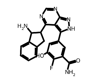 NC(=O)c1cc(-c2[nH]nc3ncnc(C4Cc5ccccc5C4N)c23)cc(O)c1F